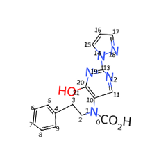 O=C(O)N(CCc1ccccc1)c1cnc(-n2cccn2)nc1O